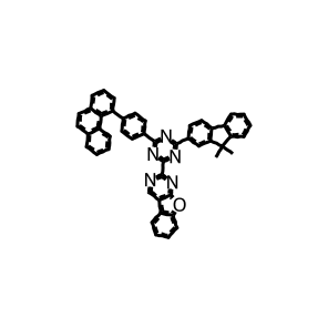 CC1(C)c2ccccc2-c2ccc(-c3nc(-c4ccc(-c5cccc6ccc7ccccc7c56)cc4)nc(-c4ncc5c(n4)oc4ccccc45)n3)cc21